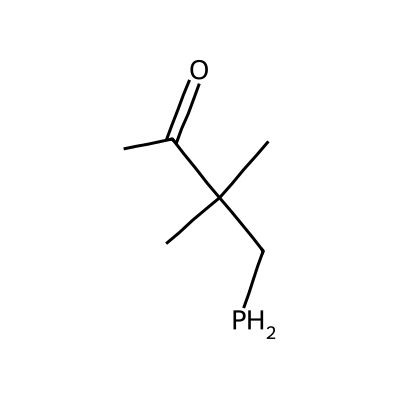 CC(=O)C(C)(C)CP